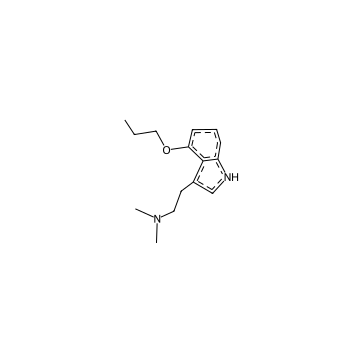 CCCOc1cccc2[nH]cc(CCN(C)C)c12